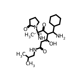 CC(C)CNC(=O)CC(O)C(C(=O)[C@@](C)(N)N1CCCC1=O)C(N)C1CCCCC1